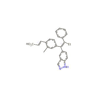 CC/C(=C(/c1ccc(/C=C/C(=O)O)c(C)c1)c1ccc2[nH]ncc2c1)c1ccccc1